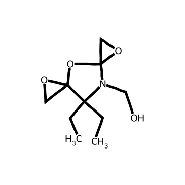 CCC1(CC)N(CO)C2(CO2)OC12CO2